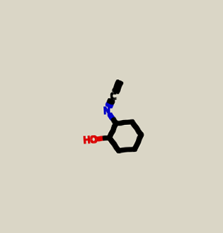 C=C=NC1CCCCC1O